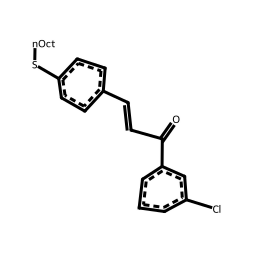 CCCCCCCCSc1ccc(/C=C/C(=O)c2cccc(Cl)c2)cc1